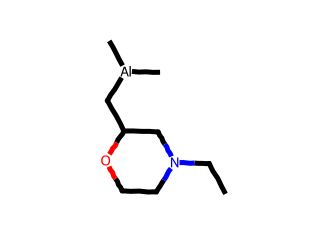 CCN1CCOC([CH2][Al]([CH3])[CH3])C1